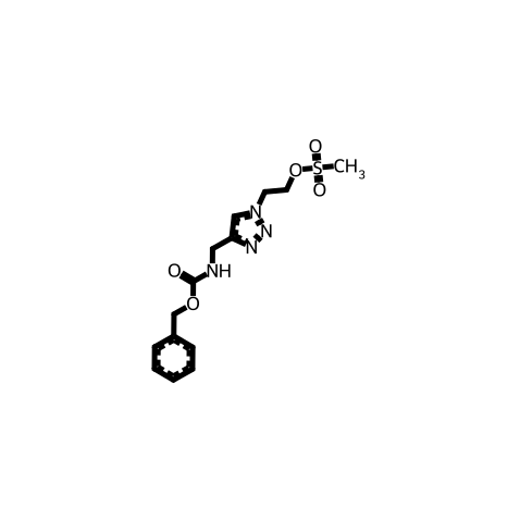 CS(=O)(=O)OCCn1cc(CNC(=O)OCc2ccccc2)nn1